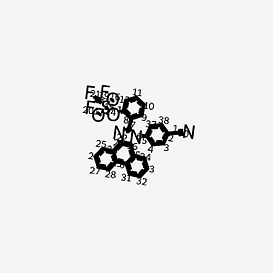 N#Cc1ccc(-n2c(-c3ccccc3OS(=O)(=O)C(F)(F)F)nc3c4ccccc4c4ccccc4c32)cc1